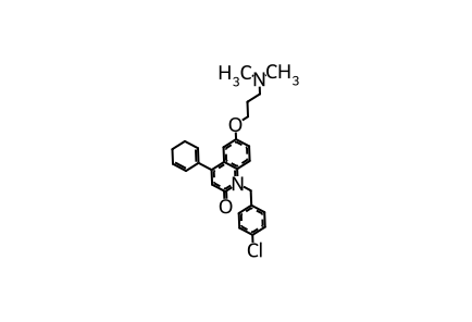 CN(C)CCCOc1ccc2c(c1)c(C1=CCCC=C1)cc(=O)n2Cc1ccc(Cl)cc1